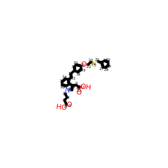 O=C(O)CCCn1cc(CC(=O)O)c2c(C=Cc3ccc(OCCSCc4ccccc4)cc3)cccc21